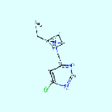 CCC12CC(C1)N(c1cc(Cl)ncn1)C2